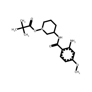 COc1ccc(C(=O)NC2CCCN(OC(=O)C(C)(C)C)C2)c(N)c1